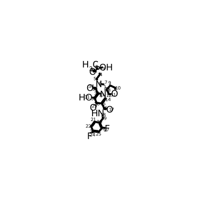 CP(=O)(O)CCN1C[C@@]2(CCOC2)n2cc(C(=O)NCc3ccc(F)cc3F)c(=O)c(O)c2C1=O